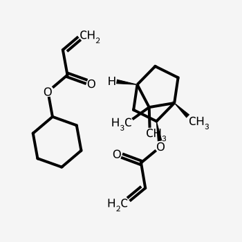 C=CC(=O)OC1CCCCC1.C=CC(=O)O[C@H]1C[C@@H]2CC[C@@]1(C)C2(C)C